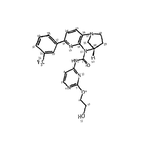 O=C(Nc1ccnc(OCCO)n1)N1c2nc(-c3cccc(C(F)(F)F)c3)ccc2N2CC[C@H]1C2